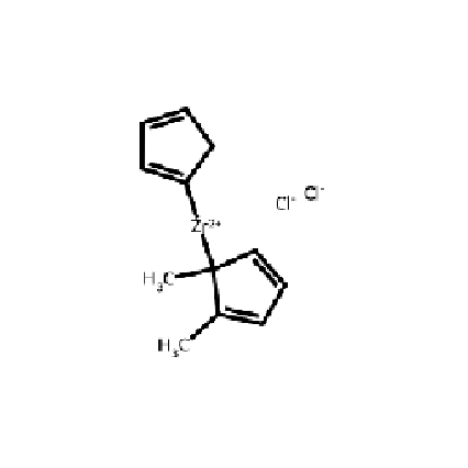 CC1=CC=C[C]1(C)[Zr+2][C]1=CC=CC1.[Cl-].[Cl-]